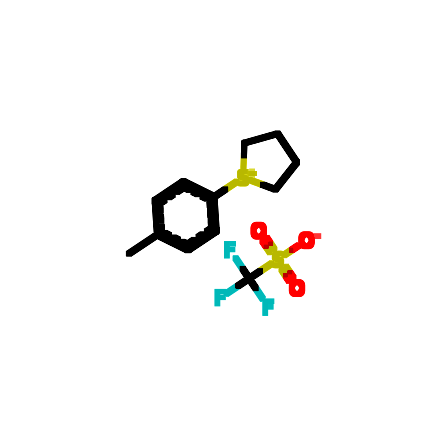 Cc1ccc([S+]2CCCC2)cc1.O=S(=O)([O-])C(F)(F)F